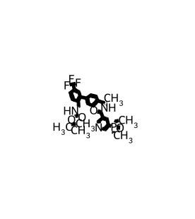 CCP(=O)(CC)c1cncc(C(=O)N[C@H](C)c2ccc(-c3cc(C(F)(F)F)ccc3CNC(=O)OC(C)(C)C)cc2)c1